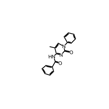 Cc1cn(-c2ccccc2)c(=O)nc1NC(=O)c1ccccc1